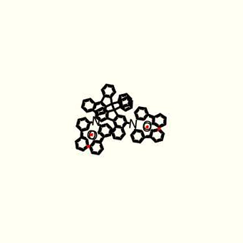 c1ccc(C2(C3(c4ccccc4)c4ccccc4-c4c3cc(N(c3cccc5c3oc3ccccc35)c3cccc5c3oc3ccccc35)c3ccccc43)c3ccccc3-c3c2cc(N(c2cccc4c2oc2ccccc24)c2cccc4c2oc2ccccc24)c2ccccc32)cc1